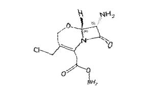 BOC(=O)C1=C(CCl)CO[C@@H]2[C@H](N)C(=O)N12